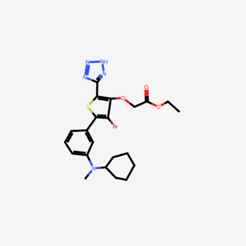 CCOC(=O)COc1c(-c2nn[nH]n2)sc(-c2cccc(N(C)C3CCCCC3)c2)c1Br